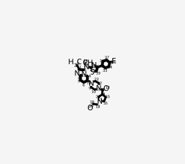 CCc1nc2ccc(N3CCN(C(=O)C4CCN(CC=O)C4)CC3)cn2c1N(C)c1nc(-c2ccc(F)cc2)cs1